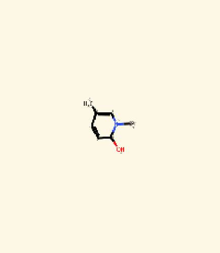 CC1=CN(C(C)C)C(O)C=C1